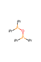 CC(C)P(OP(C(C)C)C(C)C)C(C)C